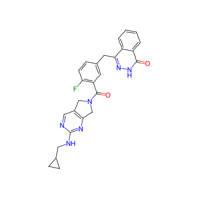 O=C(c1cc(Cc2n[nH]c(=O)c3ccccc23)ccc1F)N1Cc2cnc(NCC3CC3)nc2C1